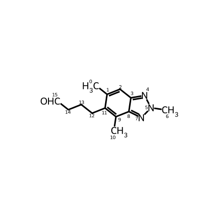 Cc1cc2nn(C)nc2c(C)c1CCCC=O